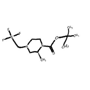 C[C@H]1CN(C[B-](F)(F)F)CCN1C(=O)OC(C)(C)C